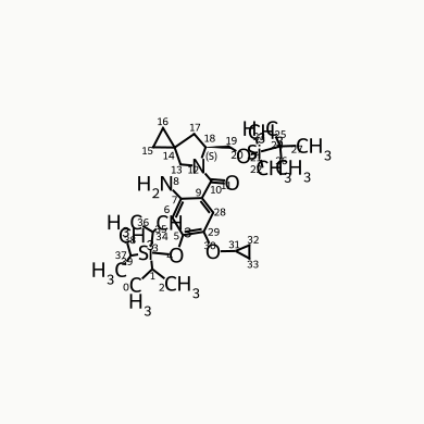 CC(C)[Si](Oc1cc(N)c(C(=O)N2CC3(CC3)C[C@H]2CO[Si](C)(C)C(C)(C)C)cc1OC1CC1)(C(C)C)C(C)C